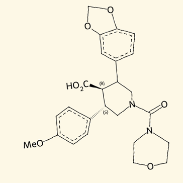 COc1ccc([C@H]2CN(C(=O)N3CCOCC3)CC(c3ccc4c(c3)OCO4)[C@@H]2C(=O)O)cc1